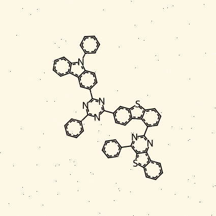 c1ccc(-c2nc(-c3ccc4c(c3)sc3cccc(-c5nc(-c6ccccc6)c6sc7ccccc7c6n5)c34)nc(-c3ccc4c(c3)c3ccccc3n4-c3ccccc3)n2)cc1